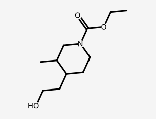 CCOC(=O)N1CCC(CCO)C(C)C1